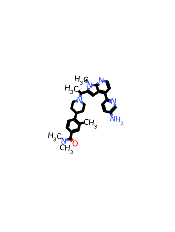 Cc1cc(C(=O)N(C)C)ccc1C1CCN(C(C)c2cc3c(-c4ccc(N)cn4)ccnc3n2C)CC1